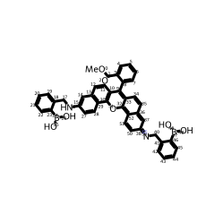 COC(=O)c1ccccc1-c1c2ccc3cc(NCc4ccccc4B(O)O)ccc3c2oc2c1ccc1c/c(=N\Cc3ccccc3B(O)O)ccc12